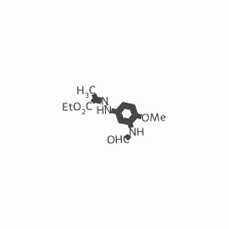 CCOC(=O)/C(C)=N\Nc1ccc(OC)c(NC=O)c1